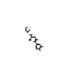 Cc1ccc(-c2[nH]c(=O)c3c(NC4C=CS(=O)(=O)C4)n[nH]c3c2O)cc1C